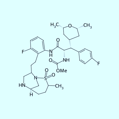 COC(=O)N[C@H](C(=O)Nc1cccc(F)c1CCC1CN[C@@H]2CCC(C)S(=O)(=O)N1C2)[C@@H](c1ccc(F)cc1)C1C[C@@H](C)O[C@@H](C)C1